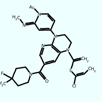 C=C(S/C(Cl)=C\C)N1CCN(c2ccn(C(C)=O)/c(=N\C)c2)c2ncc(C(=O)N3CCC(C)(F)CC3)cc21